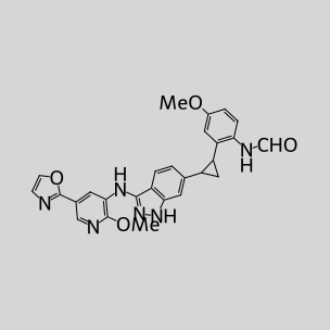 COc1ccc(NC=O)c(C2CC2c2ccc3c(Nc4cc(-c5ncco5)cnc4OC)n[nH]c3c2)c1